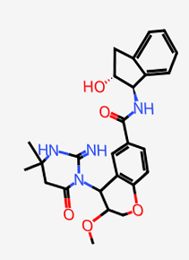 COC1COc2ccc(C(=O)N[C@@H]3c4ccccc4C[C@H]3O)cc2C1N1C(=N)NC(C)(C)CC1=O